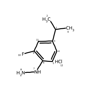 CC(C)c1ccc(NN)c(F)c1.Cl